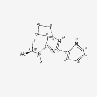 CC(=O)[C@@H](C)N(C)c1nc(-c2ccccn2)nc2c1CCC2